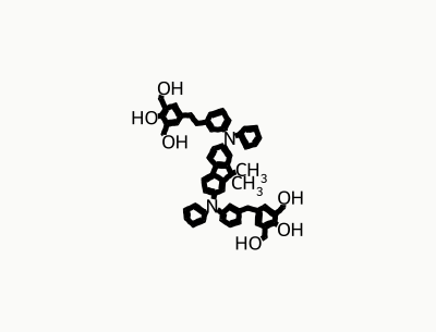 CC1(C)c2cc(N(c3ccccc3)c3cccc(CCc4cc(CO)c(O)c(CO)c4)c3)ccc2-c2ccc(N(c3ccccc3)c3cccc(Cc4cc(CO)c(O)c(CO)c4)c3)cc21